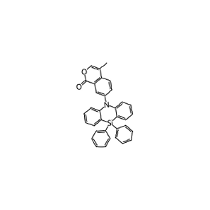 Cc1coc(=O)c2cc(N3c4ccccc4[Si](c4ccccc4)(c4ccccc4)c4ccccc43)ccc12